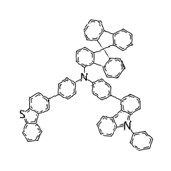 c1ccc(-n2c3ccccc3c3c(-c4ccc(N(c5ccc(-c6ccc7sc8ccccc8c7c6)cc5)c5cccc6c5-c5ccccc5C65c6ccccc6-c6ccccc65)cc4)cccc32)cc1